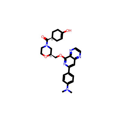 CN(C)c1ccc(-c2cc3nccnc3c(OC[C@@H]3CN(C(=O)[C@@H]4CC=C(O)CC4)CCO3)n2)cc1